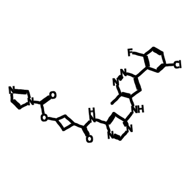 Cc1nnc(-c2cc(Cl)ccc2F)cc1Nc1cc(NC(=O)C2CC(OC(=O)n3ccnc3)C2)ncn1